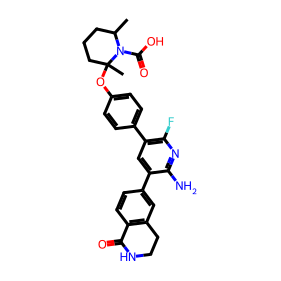 CC1CCCC(C)(Oc2ccc(-c3cc(-c4ccc5c(c4)CCNC5=O)c(N)nc3F)cc2)N1C(=O)O